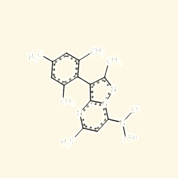 CCCCN(CC)c1cc(C)nc2c(-c3c(C)cc(C)cc3C)c(C)nn12